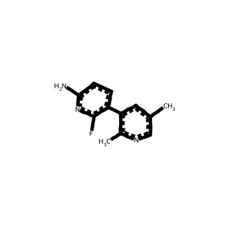 Cc1cnc(C)c(-c2ccc(N)nc2F)c1